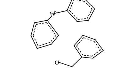 ClCc1ccccc1.c1ccc(Pc2ccccc2)cc1